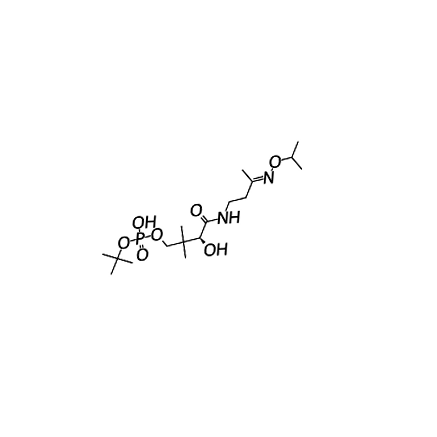 C/C(CCNC(=O)[C@@H](O)C(C)(C)COP(=O)(O)OC(C)(C)C)=N\OC(C)C